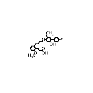 CCc1cc(-c2ccc(F)cc2)c(O)cc1OCCCCc1cccc(OC)c1CCC(=O)O